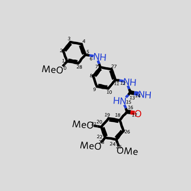 COc1cccc(Nc2cccc(NC(=N)NC(=O)c3cc(OC)c(OC)c(OC)c3)c2)c1